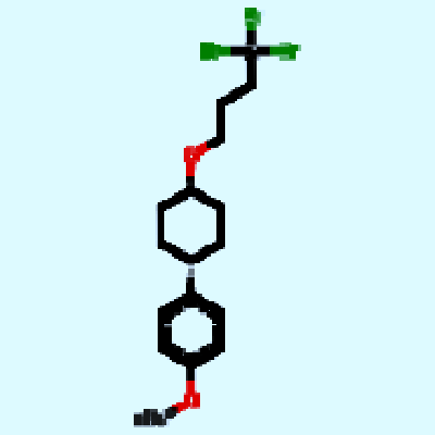 CCCCOc1ccc([C@H]2CC[C@H](OCCC[Si](Br)(Br)Br)CC2)cc1